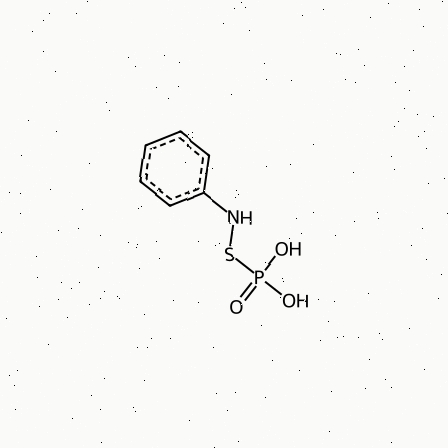 O=P(O)(O)SNc1ccccc1